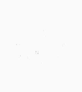 CC(C)OC(=O)c1cc2c(n(C3CC3)c1=O)-c1cc(Cl)c(OC3CCCC3)cc1S(=O)(=O)C2C